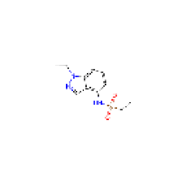 CCn1ncc2c(NS(=O)(=O)CC)cccc21